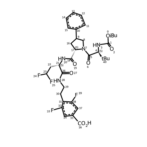 CC(C)COC(=O)N[C@H](C(=O)N1CC(c2ccccc2)C[C@H]1C(=O)N[C@@H](CC(F)F)C(=O)NCCc1c(F)cc(C(=O)O)cc1F)C(C)(C)C